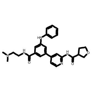 CN(C)CCNC(=O)c1cc(Nc2ccccc2)cc(-c2ccnc(NC(=O)C3CCOC3)c2)c1